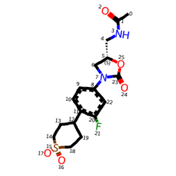 CC(=O)NC[C@H]1CN(c2ccc(C3CCS(=O)(=O)CC3)c(F)c2)C(=O)O1